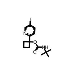 CC(C)(C)NC(=O)OC1(c2ccc(I)cn2)CCC1